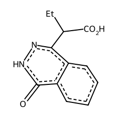 CCC(C(=O)O)c1n[nH]c(=O)c2ccccc12